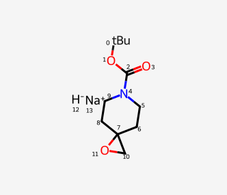 CC(C)(C)OC(=O)N1CCC2(CC1)CO2.[H-].[Na+]